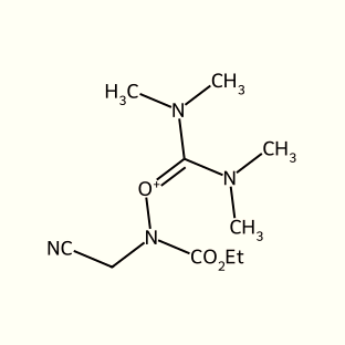 CCOC(=O)N(CC#N)[O+]=C(N(C)C)N(C)C